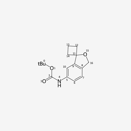 CC(C)(C)OC(=O)Nc1ccc2c(c1)C1(CCC1)OC2